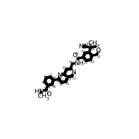 CNC(=O)c1cccc(-c2ccc3cnc(CNC(=O)c4ccc5c(c4)[C@](C)(C#N)COC5)cc3n2)c1